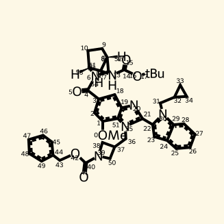 COc1cc(C(=O)N2C[C@H]3CC[C@@H]2[C@@H]3NC(=O)OC(C)(C)C)cc2nc(-c3cc4ccccc4n3CC3CC3)n(CC3CN(C(=O)OCc4ccccc4)C3)c12